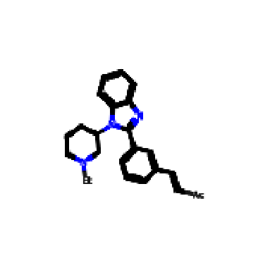 CCN1CCC[C@@H](n2c(-c3cccc(/C=C/C(C)=O)c3)nc3ccccc32)C1